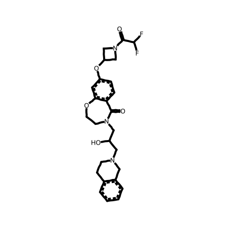 O=C1c2ccc(OC3CN(C(=O)C(F)F)C3)cc2OCCN1CC(O)CN1CCc2ccccc2C1